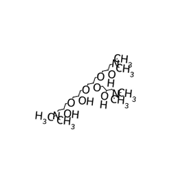 CN(C)CC(O)COCC(O)COCC(COCC(O)CN(C)C)OCC(O)CN(C)C